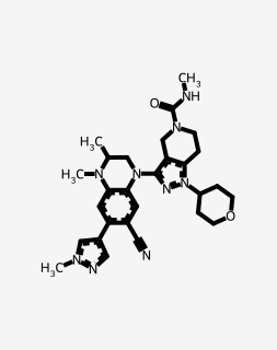 CNC(=O)N1CCc2c(c(N3CC(C)N(C)c4cc(-c5cnn(C)c5)c(C#N)cc43)nn2C2CCOCC2)C1